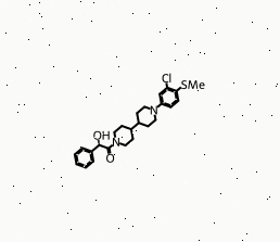 CSc1ccc(N2CCC(C3CCN(C(=O)[C@H](O)c4ccccc4)CC3)CC2)cc1Cl